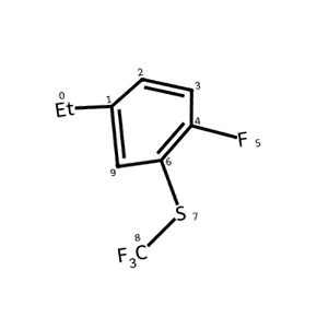 [CH2]Cc1ccc(F)c(SC(F)(F)F)c1